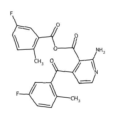 Cc1ccc(F)cc1C(=O)OC(=O)c1c(C(=O)c2cc(F)ccc2C)ccnc1N